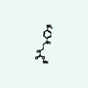 CC(C)(C)OC(=O)NCCNc1ccc([N+](=O)[O-])cc1